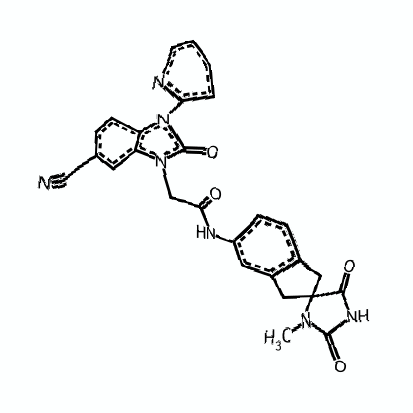 CN1C(=O)NC(=O)C12Cc1ccc(NC(=O)Cn3c(=O)n(-c4ccccn4)c4ccc(C#N)cc43)cc1C2